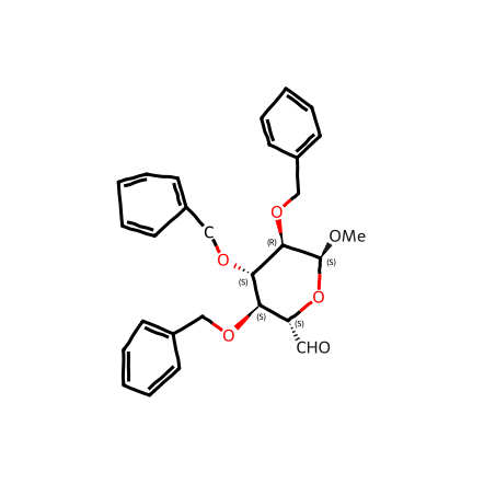 CO[C@H]1O[C@H](C=O)[C@@H](OCc2ccccc2)[C@H](OCc2ccccc2)[C@H]1OCc1ccccc1